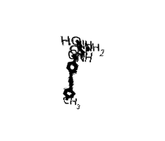 Cc1ccc(C#Cc2ccc(C(=O)N[C@@H](CN)C(=O)NO)cc2)cc1